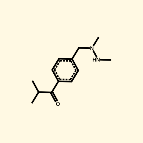 CNN(C)Cc1ccc(C(=O)C(C)C)cc1